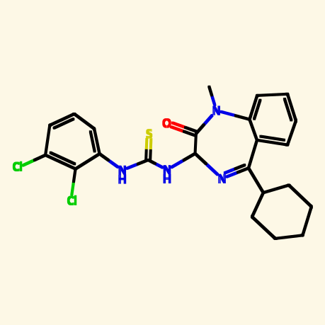 CN1C(=O)C(NC(=S)Nc2cccc(Cl)c2Cl)N=C(C2CCCCC2)c2ccccc21